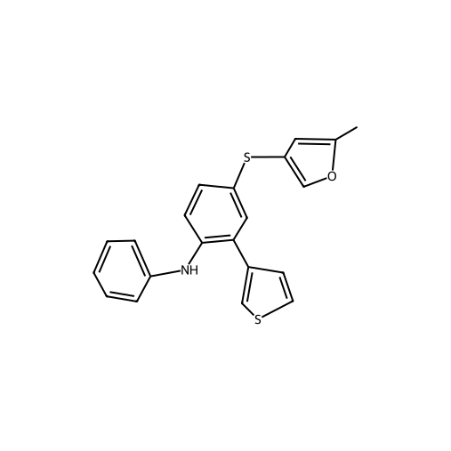 Cc1cc(Sc2ccc(Nc3ccccc3)c(-c3ccsc3)c2)co1